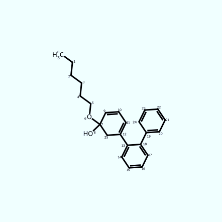 CCCCCCOC1(O)C=CC=C(c2ccccc2-c2ccccc2)C1